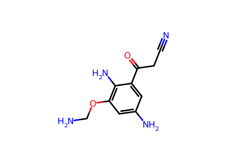 N#CCC(=O)c1cc(N)cc(OCN)c1N